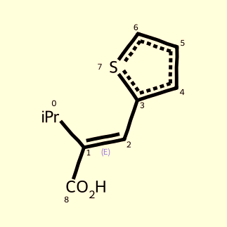 CC(C)/C(=C\c1cccs1)C(=O)O